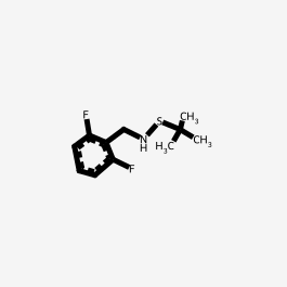 CC(C)(C)SNCc1c(F)cccc1F